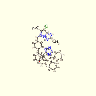 CCCc1c(Cl)c2nc(C)nn2n1Cc1ccc(-c2ccccc2-c2nnnn2C(c2ccccc2)(c2ccccc2)c2ccccc2)cc1